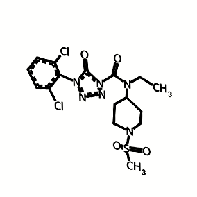 CCN(C(=O)n1nnn(-c2c(Cl)cccc2Cl)c1=O)C1CCN(S(C)(=O)=O)CC1